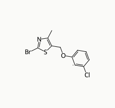 Cc1nc(Br)sc1COc1[c]c(Cl)ccc1